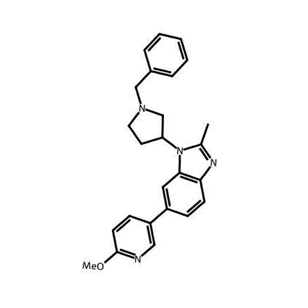 COc1ccc(-c2ccc3nc(C)n(C4CCN(Cc5ccccc5)C4)c3c2)cn1